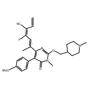 C=C/C(C#N)=C(F)\C=C(/C)c1nc(OCC2CCN(C)CC2)n(C)c(=O)c1-c1ccc(OC)cc1